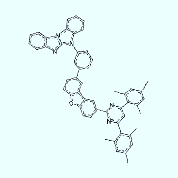 Cc1cc(C)c(-c2cc(-c3c(C)cc(C)cc3C)nc(-c3ccc4oc5ccc(-c6cccc(-n7c8ccccc8n8c9ccccc9nc78)c6)cc5c4c3)n2)c(C)c1